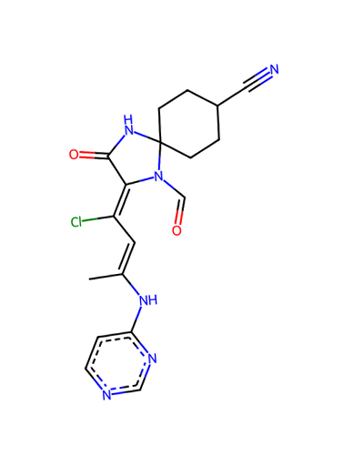 C/C(=C\C(Cl)=C1\C(=O)NC2(CCC(C#N)CC2)N1C=O)Nc1ccncn1